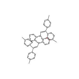 Cc1ccc(C(=Cc2c3ccccc3c(C=C(c3ccc(C)cc3)c3ccc(C)cc3)c3ccccc23)c2ccc(C)cc2)cc1